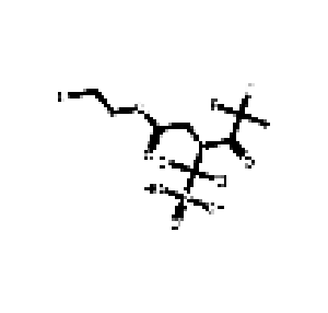 O=C(CN(C(=O)C(F)(F)F)C(Cl)(Cl)P(=O)(O)O)OCCCl